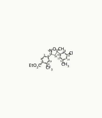 CCOC(=O)c1ccc(C2=NOC(C)(c3cc(C)cc(Cl)c3)C2)cc1C(F)(F)F